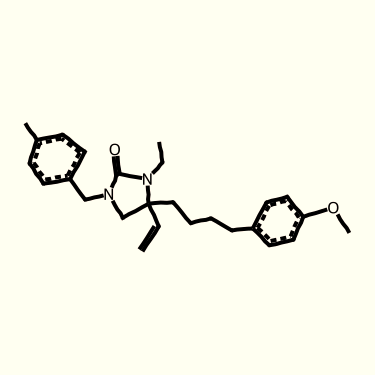 C=CC1(CCCCc2ccc(OC)cc2)CN(Cc2ccc(C)cc2)C(=O)N1CC